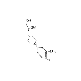 OCC(O)CN1CCN(c2ccc(F)c(C(F)(F)F)c2)CC1